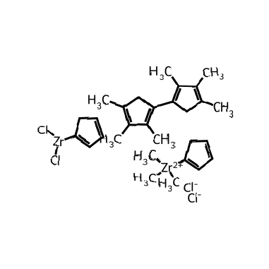 CC1=C(C)C(C)=C(C2=C(C)C(C)=C(C)C2)C1.[CH3][Zr+2]([CH3])([CH3])[C]1=CC=CC1.[Cl-].[Cl-].[Cl][Zr]([Cl])[C]1=CC=CC1